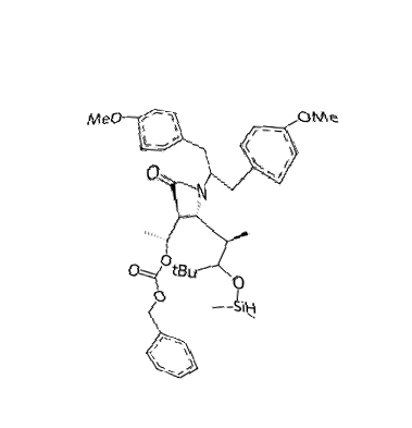 COc1ccc(CC(Cc2ccc(OC)cc2)N2C(=O)[C@H]([C@@H](C)OC(=O)OCc3ccccc3)[C@H]2[C@@H](C)C(O[SiH](C)C)C(C)(C)C)cc1